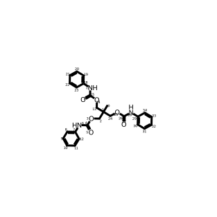 CC(COC(=O)Nc1ccccc1)(COC(=O)Nc1ccccc1)COC(=O)Nc1ccccc1